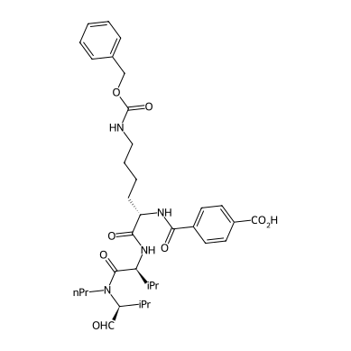 CCCN(C(=O)[C@@H](NC(=O)[C@H](CCCCNC(=O)OCc1ccccc1)NC(=O)c1ccc(C(=O)O)cc1)C(C)C)[C@H](C=O)C(C)C